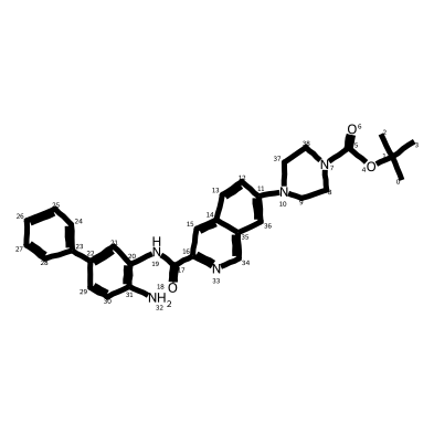 CC(C)(C)OC(=O)N1CCN(c2ccc3cc(C(=O)Nc4cc(-c5ccccc5)ccc4N)ncc3c2)CC1